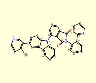 N#Cc1ccncc1-c1ccc2c(c1)c1ccccc1n2-c1cccc2c1C(=O)N(c1ccccc1-c1ccccc1)C2=O